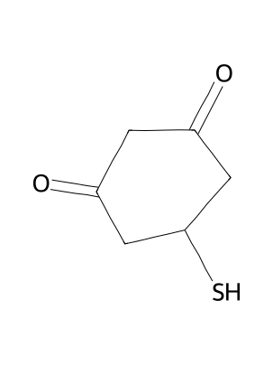 O=C1CC(=O)CC(S)C1